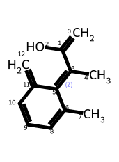 C=C(O)/C(C)=c1/c(C)cccc1=C